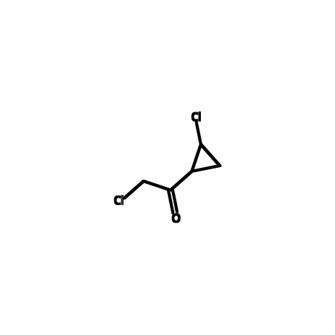 O=C(CCl)C1CC1Cl